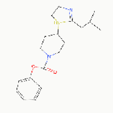 CC(C)CC1=NCC[SH]1C1CCN(C(=O)Oc2ccccc2)CC1